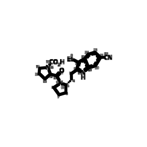 CCc1c(CC[C@@H]2CCCN2C(=O)C2CCCN2C(=O)O)[nH]c2cc(C#N)ccc12